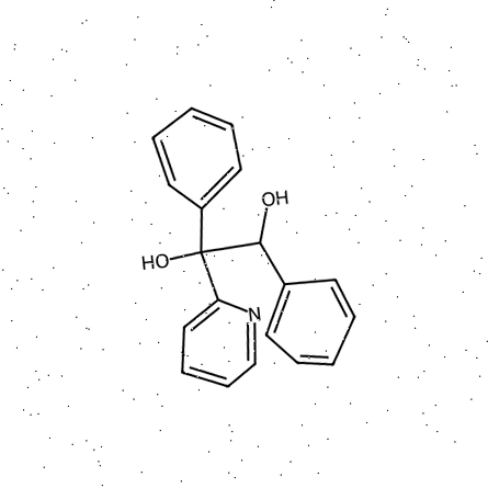 OC(c1ccccc1)C(O)(c1ccccc1)c1ccccn1